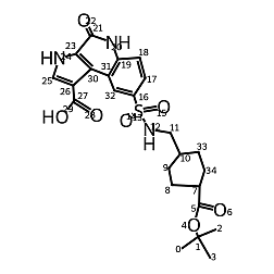 CC(C)(C)OC(=O)C1CCC(CNS(=O)(=O)c2ccc3[nH]c(=O)c4[nH]cc(C(=O)O)c4c3c2)CC1